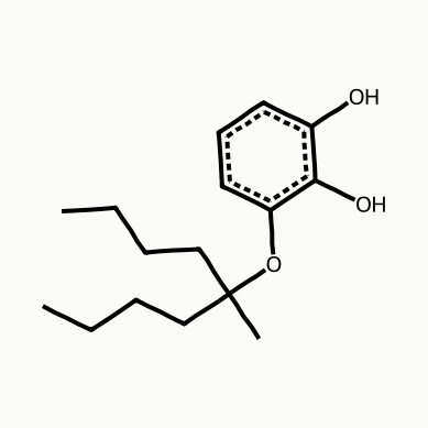 CCCCC(C)(CCCC)Oc1cccc(O)c1O